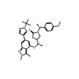 COc1ccc([C@H](C)N2CC([C@@H](C)Oc3cc(-c4cnn(C(C)(C)C)c4)cc4nn(C)c(C)c34)CC2=O)cc1